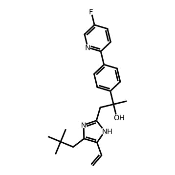 C=Cc1[nH]c(CC(C)(O)c2ccc(-c3ccc(F)cn3)cc2)nc1CC(C)(C)C